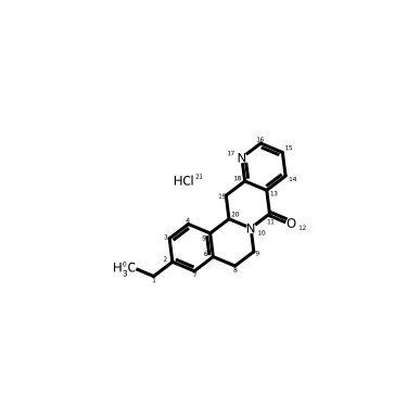 CCc1ccc2c(c1)CCN1C(=O)c3cccnc3CC21.Cl